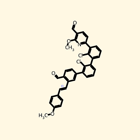 COc1ccc(/C=C/c2cc(-c3cccc(-c4cccc(-c5ccc(C=O)c(OC)n5)c4Cl)c3Cl)ccc2C=O)cc1